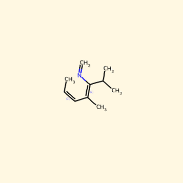 C=N/C(=C(C)\C=C/C)C(C)C